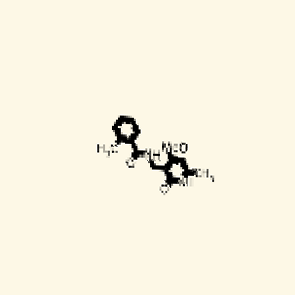 COc1cc(C)[nH]c(=O)c1CNC(=O)c1ccccc1C